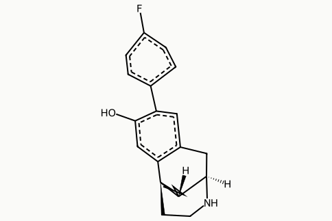 Oc1cc2c(cc1-c1ccc(F)cc1)C[C@H]1NCC[C@@]23CCCC[C@@H]13